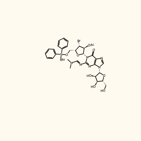 CC(=O)O[C@@H]1[C@@H](Br)[C@@H](CO[Si](c2ccccc2)(c2ccccc2)C(C)(C)C)O[C@H]1n1c(N=CN(C)C)nc2c(ncn2[C@@H]2O[C@H](CO)[C@@H](O)[C@H]2O)c1=O